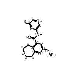 CCCCNc1cc(C(=O)Nc2cncc(C)n2)c2c(n1)CCOCC2